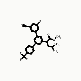 COC(=O)C(CC(C)C)c1cc(-c2ccc(C(F)(F)F)cc2)cc(-c2cc(F)cc(C#N)c2)c1